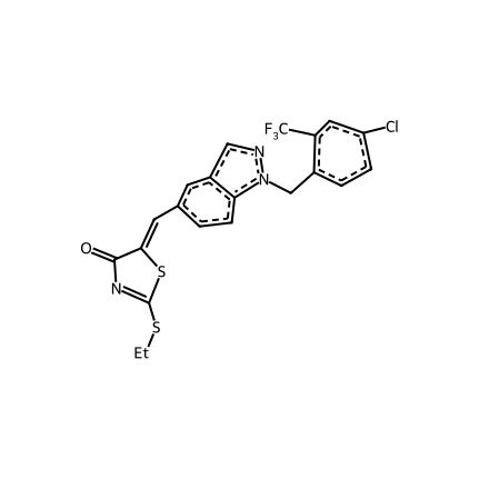 CCSC1=NC(=O)/C(=C/c2ccc3c(cnn3Cc3ccc(Cl)cc3C(F)(F)F)c2)S1